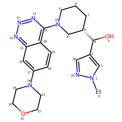 CCn1cc(C(O)[C@H]2CCCN(c3nnnc4cc(N5CCOCC5)ccc34)C2)cn1